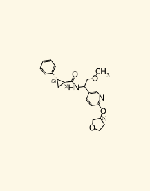 COCC(NC(=O)[C@H]1C[C@@H]1c1ccccc1)c1ccc(O[C@H]2CCOC2)nc1